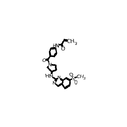 C=CC(=O)Nc1ccc(C(=O)N2CCC(Nc3ncc4ccc(S(C)(=O)=O)cc4n3)C2)cc1